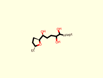 CCCCCCCC(O)C(O)CC[C@H](O)[C@@H]1CC[C@@H](CC)O1